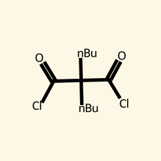 CCCCC(CCCC)(C(=O)Cl)C(=O)Cl